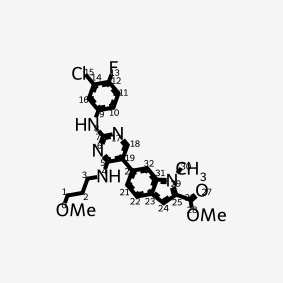 COCCCNc1nc(Nc2ccc(F)c(Cl)c2)ncc1-c1ccc2cc(C(=O)OC)n(C)c2c1